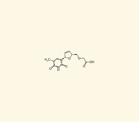 Cc1cn([C@H]2C=C[C@@H](COCC(=O)O)O2)c(=O)[nH]c1=O